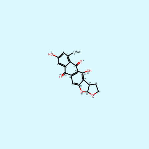 COc1cc(O)cc2c1C(=O)c1c(cc3c(c1O)C1CCOC1O3)C2=O